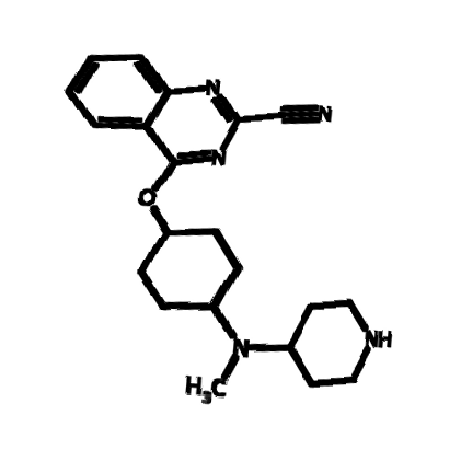 CN(C1CCNCC1)C1CCC(Oc2nc(C#N)nc3ccccc23)CC1